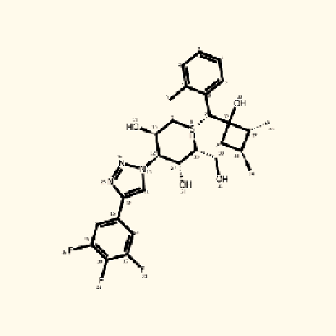 Cc1ccccc1[C@@H]([SH]1C[C@H](O)[C@H](n2cc(-c3cc(F)c(F)c(F)c3)nn2)[C@@H](O)[C@H]1CO)C1(O)C[C@H](C)[C@H]1C